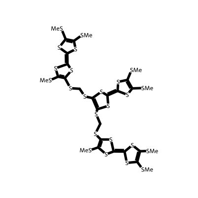 CSC1=C(SC)SC(=C2SC(SC)=C(SCSC3=C(SCSC4=C(SC)SC(=C5SC(SC)=C(SC)S5)S4)SC(=C4SC(SC)=C(SC)S4)S3)S2)S1